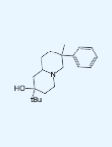 CC1(c2ccccc2)CCC2CC(O)(C(C)(C)C)CCN2C1